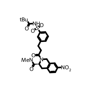 CNC(=O)[C@@H]1Cc2ccc([N+](=O)[O-])cc2CN1C(=O)CCc1cccc(S(=O)(=O)NC(=O)C(C)(C)C)c1